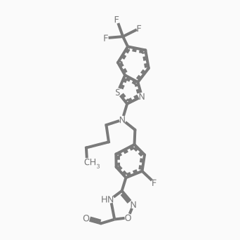 CCCCN(Cc1ccc(C2=NOC(C=O)N2)c(F)c1)c1nc2ccc(C(F)(F)F)cc2s1